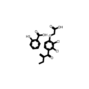 C=C(CC)C(=O)c1ccc(OCC(=O)O)c(Cl)c1Cl.O=C(O)c1ccccc1S